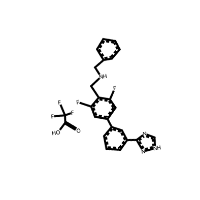 Fc1cc(-c2cccc(-c3nc[nH]n3)c2)cc(F)c1CNCc1ccccc1.O=C(O)C(F)(F)F